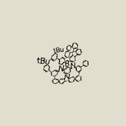 CC(C)(C)c1cc(-c2ccc3c(c2)N(c2cc(-c4ccccc4)cc(-c4ccccc4)c2)c2cc(-n4c5ccccc5c5ccccc54)cc4c2B3c2cc3c(cc2N4c2cc(-c4ccccc4)cc(-c4ccccc4)c2)-c2ccccc2C32c3ccccc3Oc3ccccc32)cc(C(C)(C)C)c1